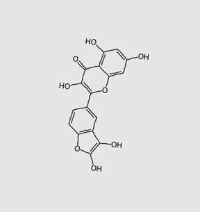 O=c1c(O)c(-c2ccc3oc(O)c(O)c3c2)oc2cc(O)cc(O)c12